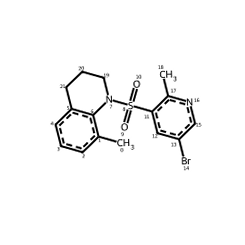 Cc1cccc2c1N(S(=O)(=O)c1cc(Br)cnc1C)CCC2